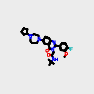 COc1cc(-c2nc3ccc(N4CCCN(C5CCCC5)CC4)cc3c(=O)n2CC(=O)NC(C)(C)C)ccc1F